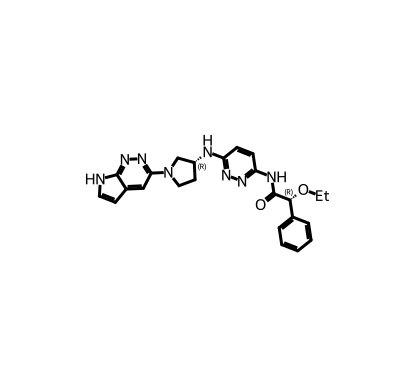 CCO[C@@H](C(=O)Nc1ccc(N[C@@H]2CCN(c3cc4cc[nH]c4nn3)C2)nn1)c1ccccc1